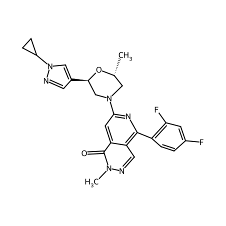 C[C@@H]1CN(c2cc3c(=O)n(C)ncc3c(-c3ccc(F)cc3F)n2)C[C@@H](c2cnn(C3CC3)c2)O1